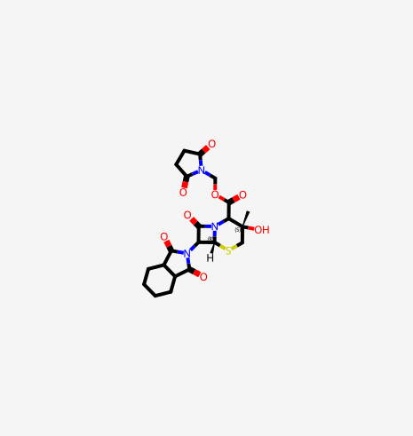 C[C@@]1(O)CS[C@@H]2C(N3C(=O)C4CCCCC4C3=O)C(=O)N2C1C(=O)OCN1C(=O)CCC1=O